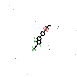 C=CC12COC(c3ccc(-c4cc(F)c5c(F)c(C#CC(F)(F)F)c(F)cc5c4)cc3)(OC1)OC2